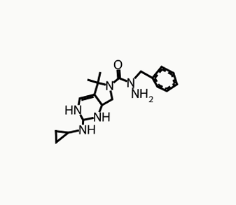 CC1(C)C2=CNC(NC3CC3)NC2CN1C(=O)N(N)Cc1ccccc1